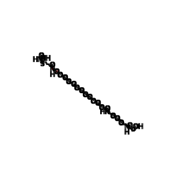 O=C(CCCCC1SCC2NC(=O)NC21)NCCOCCOCCOCCOCCOCCOCCOCCOCCOCCOCCOCCOCCC(=O)NCCCOCCOCCOCCCNC(=O)Cc1cccc(O)c1